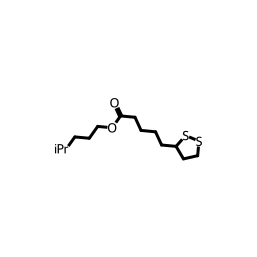 CC(C)CCCOC(=O)CCCCC1CCSS1